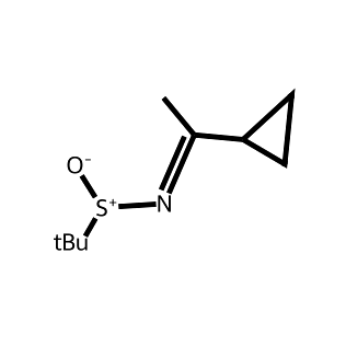 CC(=N[S+]([O-])C(C)(C)C)C1CC1